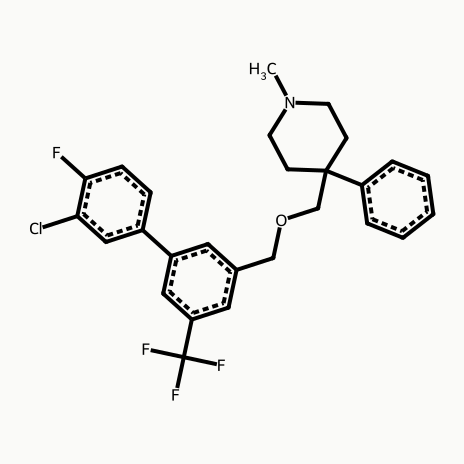 CN1CCC(COCc2cc(-c3ccc(F)c(Cl)c3)cc(C(F)(F)F)c2)(c2ccccc2)CC1